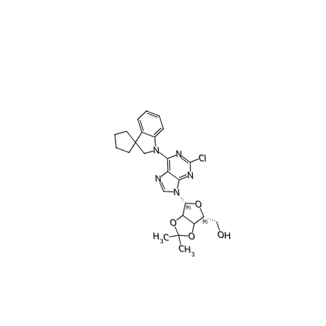 CC1(C)OC2C(O1)[C@@H](CO)O[C@H]2n1cnc2c(N3CC4(CCCC4)c4ccccc43)nc(Cl)nc21